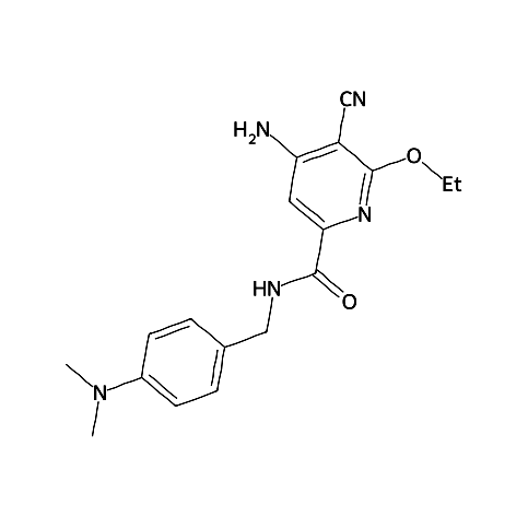 CCOc1nc(C(=O)NCc2ccc(N(C)C)cc2)cc(N)c1C#N